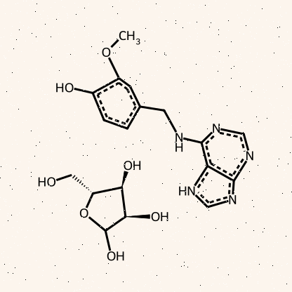 COc1cc(CNc2ncnc3nc[nH]c23)ccc1O.OC[C@H]1OC(O)[C@H](O)[C@@H]1O